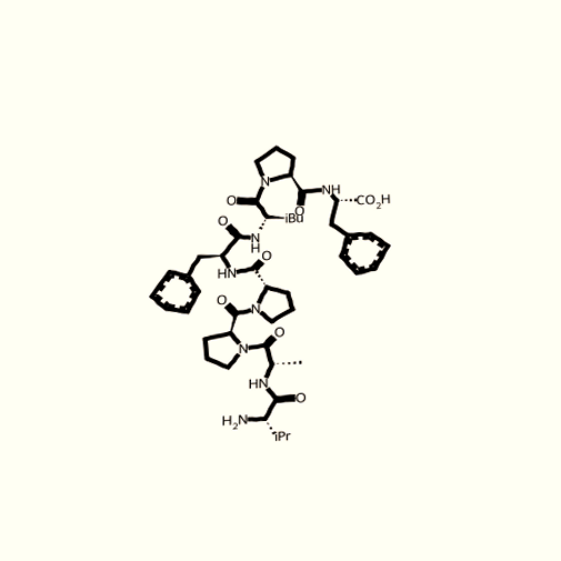 CC[C@H](C)[C@H](NC(=O)[C@H](Cc1ccccc1)NC(=O)[C@@H]1CCCN1C(=O)[C@@H]1CCCN1C(=O)[C@H](C)NC(=O)[C@@H](N)C(C)C)C(=O)N1CCC[C@H]1C(=O)N[C@@H](Cc1ccccc1)C(=O)O